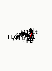 CCc1nonc1C(=O)/N=C\C(C(=O)Nc1ccc(-c2c(C)nn(COCC[Si](C)(C)C)c2C)cc1)C1c2cc(F)c(F)cc2OCC12CC2